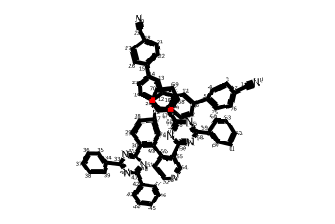 N#Cc1ccc(-c2ccc3c(c2)c2cc(-c4ccc(C#N)cc4)ccc2n3-c2ccc(-c3nc(-c4ccccc4)nc(-c4ccccc4)n3)c(-c3ccncc3-c3nc(-c4ccccc4)nc(-c4ccccc4)n3)c2)cc1